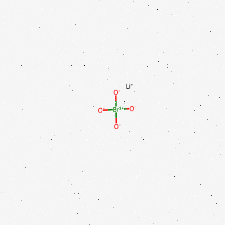 [Li+].[O-][Br+3]([O-])([O-])[O-]